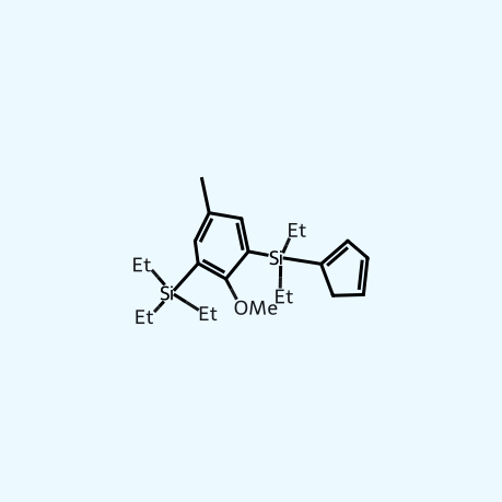 CC[Si](CC)(CC)c1cc(C)cc([Si](CC)(CC)C2=CC=CC2)c1OC